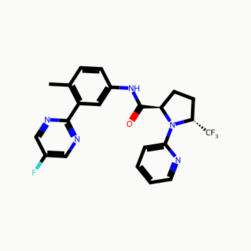 Cc1ccc(NC(=O)[C@H]2CC[C@H](C(F)(F)F)N2c2ccccn2)cc1-c1ncc(F)cn1